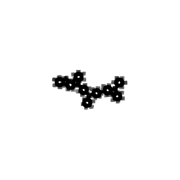 c1ccc(N(c2ccc(-c3ccc4c(c3)c3ccccc3n4-c3ccccc3)cc2)c2ccc(-n3c4ccccc4c4c5sc6ccccc6c5ccc43)cc2)cc1